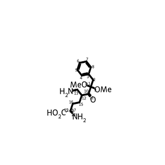 COC(Cc1ccccc1)(OC)C(=O)C(CN)CC[C@H](N)C(=O)O